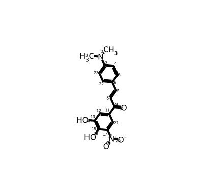 CN(C)c1ccc(/C=C/C(=O)c2cc(O)c(O)c([N+](=O)[O-])c2)cc1